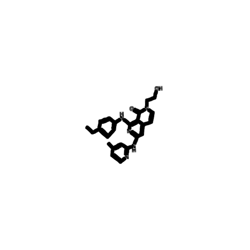 CCc1ccc(Nc2nc(Nc3cc(C)ccn3)cc3ccn(CCO)c(=O)c23)cc1